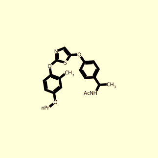 CCCOc1ccc(Oc2ncc(Oc3ccc(C(C)NC(C)=O)cc3)s2)c(C)c1